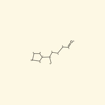 CC(CCCC=O)C1CCCC1